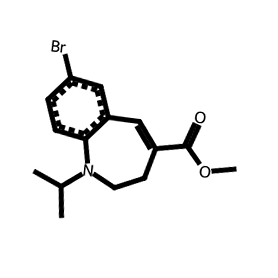 COC(=O)C1=Cc2cc(Br)ccc2N(C(C)C)CC1